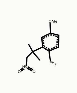 COc1ccc(P)c(C(C)(C)C[SH](=O)=O)c1